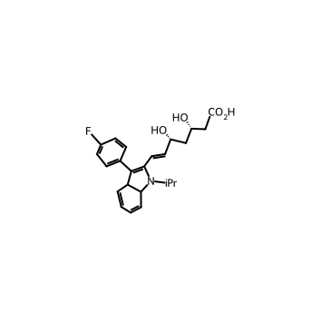 CC(C)N1C(/C=C/[C@H](O)C[C@H](O)CC(=O)O)=C(c2ccc(F)cc2)C2C=CC=CC21